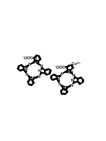 O=C([O-])c1cccc2c3nc4nc(nc5[nH]c(nc6nc(nc([nH]3)c12)-c1ccccc1-6)c1ccccc51)-c1ccccc1-4.O=C([O-])c1cccc2c3nc4nc(nc5[nH]c(nc6nc(nc([nH]3)c12)-c1ccccc1-6)c1ccccc51)-c1ccccc1-4.[Co+2]